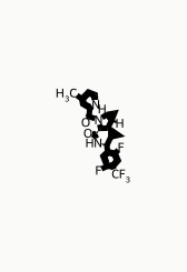 Cc1ccnc(C(=O)N2[C@@H](C(=O)N[C@@H](c3cc(F)c(C(F)(F)F)cc3F)C3CC3)C[C@H]3C[C@H]32)c1